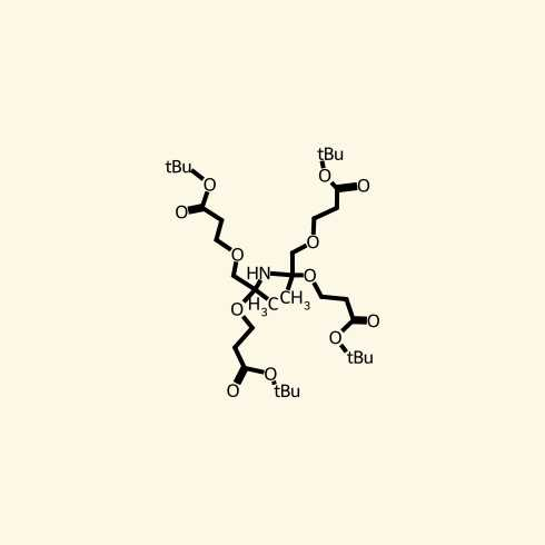 CC(C)(C)OC(=O)CCOCC(C)(NC(C)(COCCC(=O)OC(C)(C)C)OCCC(=O)OC(C)(C)C)OCCC(=O)OC(C)(C)C